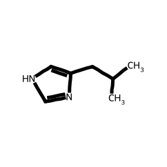 CC(C)Cc1c[nH]cn1